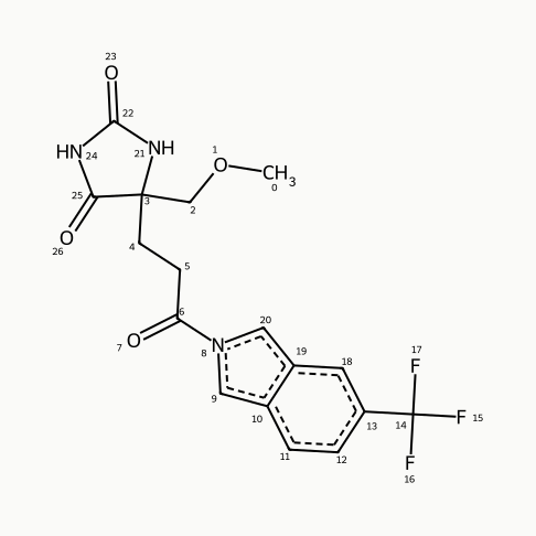 COCC1(CCC(=O)n2cc3ccc(C(F)(F)F)cc3c2)NC(=O)NC1=O